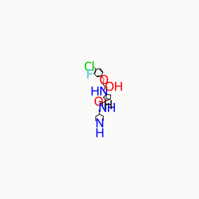 O=C(NCC1CCNCC1)[C@H]1CC2(NC(O)COc3ccc(Cl)c(F)c3)CC1C2